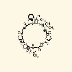 CC[C@H](C)[C@@H]1NC(=O)[C@H](C(C)C)NC(=O)[C@@H]2CCCN2C(=O)CNC(=O)[C@H](CC(C)C)NC(=O)[C@@H]2CCCN2C(=O)[C@@H]2CCCN2C(=O)CNC(=O)[C@H](Cc2ccccc2)NC1=O